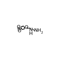 CS(=O)(=O)c1ccc(OCCNCCN)cc1